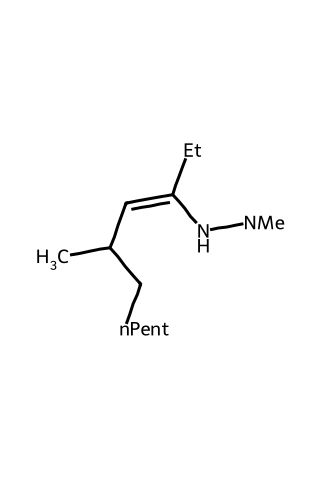 CCCCCCC(C)/C=C(/CC)NNC